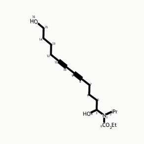 CCOC(=O)N(C(C)C)C(O)CCCC#CC#CCCCCO